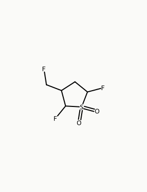 O=S1(=O)C(F)CC(CF)C1F